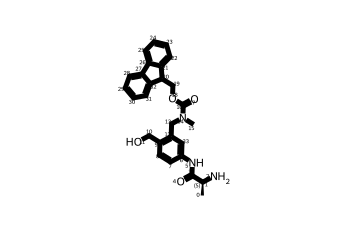 C[C@H](N)C(=O)Nc1ccc(CO)c(CN(C)C(=O)OCC2c3ccccc3-c3ccccc32)c1